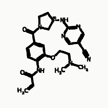 C=CC(=O)Nc1ccc(C(=O)N2CC[C@H](Nc3ncc(C#N)cn3)C2)cc1OCCN(C)C